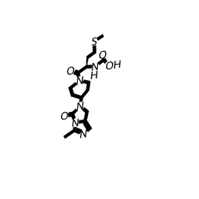 CSCC[C@@H](NC(=O)O)C(=O)N1CCC(N2Cc3cnc(C)n3C2=O)CC1